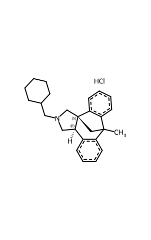 CC12C[C@@]3(CN(CC4CCCCC4)C[C@@H]3c3ccccc31)c1ccccc12.Cl